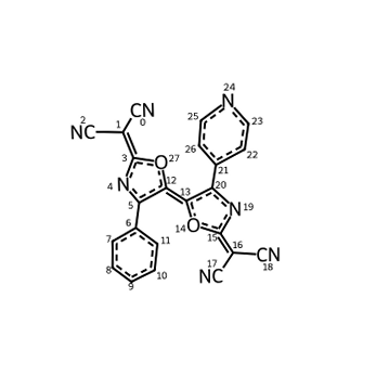 N#CC(C#N)=c1nc(-c2ccccc2)/c(=c2\oc(=C(C#N)C#N)nc2-c2ccncc2)o1